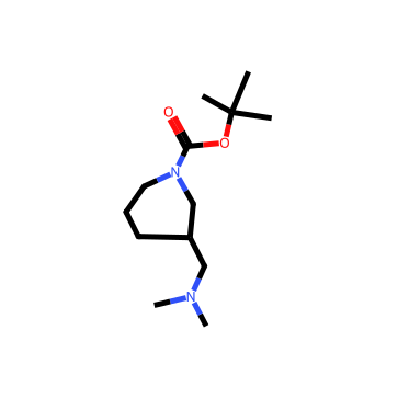 CN(C)CC1CCCN(C(=O)OC(C)(C)C)C1